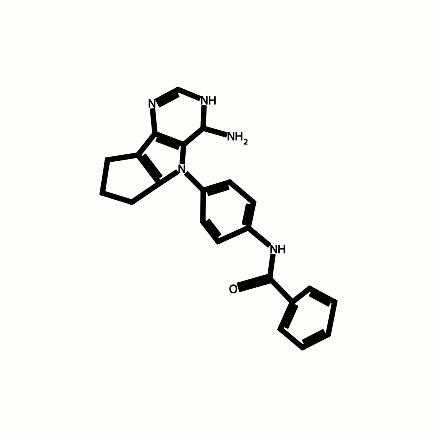 NC1NC=Nc2c3c(n(-c4ccc(NC(=O)c5ccccc5)cc4)c21)CCC3